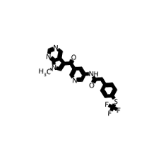 Cn1cc(C(=O)c2cncc(NC(=O)Cc3ccc(SC(F)(F)F)cc3)c2)c2cncnc21